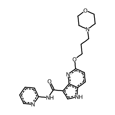 O=C(Nc1ccccn1)c1c[nH]c2ccc(OCCCN3CCOCC3)nc12